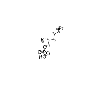 CC(C)CCCCCOP(=O)([O-])O.[K+]